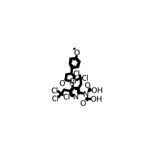 COc1ccc(C2CC(=O)N(c3c(CC(Cl)(Cl)Cl)cnc(N(C(=O)O)C(=O)O)c3CC(Cl)(Cl)Cl)C2)cc1